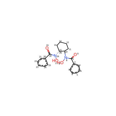 O=C(c1ccccc1)N(O)C1CCCC[C@H]1N(O)C(=O)c1ccccc1